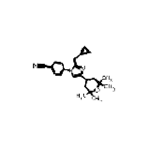 CC1(C)CC(c2cn(-c3ccc(C#N)cc3)c(CC3CC3)n2)CC(C)(C)O1